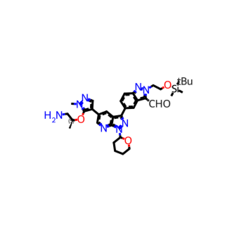 C[C@@H](CN)Oc1c(-c2cnc3c(c2)c(-c2ccc4nn(CCO[Si](C)(C)C(C)(C)C)c(C=O)c4c2)nn3C2CCCCO2)cnn1C